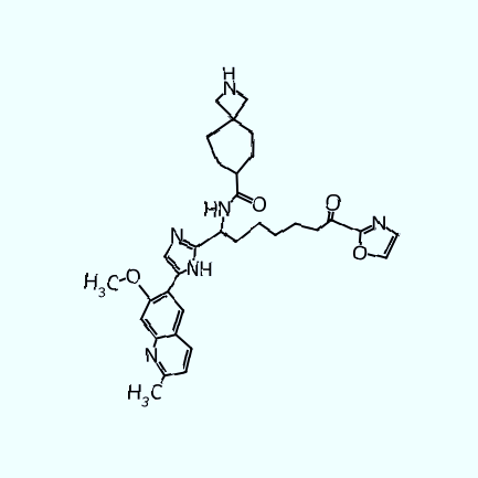 COc1cc2nc(C)ccc2cc1-c1cnc(C(CCCCCC(=O)c2ncco2)NC(=O)C2CCC3(CC2)CNC3)[nH]1